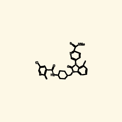 CNC(=O)c1ccc(-n2c(=O)n(CC3CCC(NC(=O)c4cc(Cl)cnc4C)CC3)c3cccc(C)c32)cn1